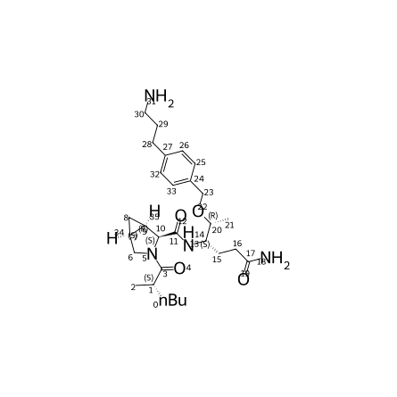 CCCC[C@H](C)C(=O)N1C[C@H]2C[C@H]2[C@H]1C(=O)N[C@@H](CCC(N)=O)[C@@H](C)OCc1ccc(CCCN)cc1